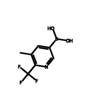 Cc1cc(B(O)O)cnc1C(F)(F)F